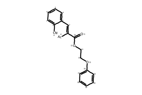 CC(=O)C(=Cc1ccccc1C#N)C(=O)OCCOc1ccccc1